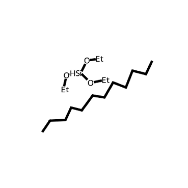 CCCCCCCCCCCC.CCO[SiH](OCC)OCC